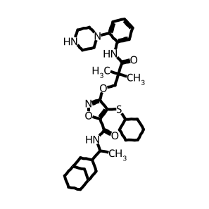 CC(NC(=O)c1onc(OCC(C)(C)C(=O)Nc2ccccc2N2CCNCC2)c1SC1CCCCC1)C1CC2CCCC(C2)C1